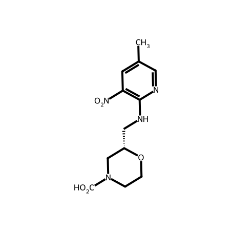 Cc1cnc(NC[C@H]2CN(C(=O)O)CCO2)c([N+](=O)[O-])c1